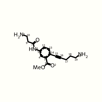 COC(=O)c1cc(NC(=O)CCN)ccc1C#CCCCN